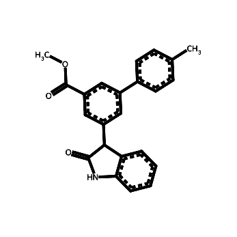 COC(=O)c1cc(-c2ccc(C)cc2)cc(C2C(=O)Nc3ccccc32)c1